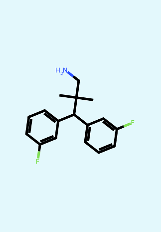 CC(C)(CN)C(c1cccc(F)c1)c1cccc(F)c1